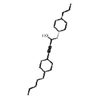 CCCCCC1CCC(C#CC(O)C[C@H]2CC[C@H](CCC)CC2)CC1